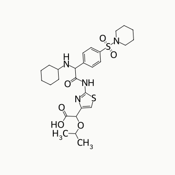 CC(C)OC(C(=O)O)c1csc(NC(=O)C(NC2CCCCC2)c2ccc(S(=O)(=O)N3CCCCC3)cc2)n1